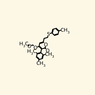 COCOc1cc(CCSc2ccc(C)cc2)oc(=O)c1-c1c(C)cc(C)cc1C